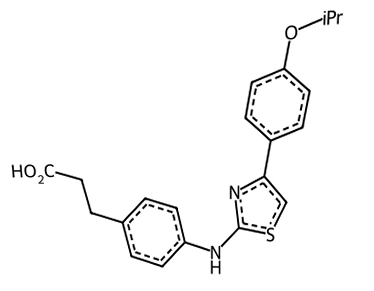 CC(C)Oc1ccc(-c2csc(Nc3ccc(CCC(=O)O)cc3)n2)cc1